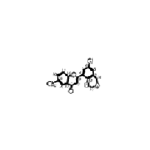 O=c1cc(-c2cc(Cl)cc3c2OCOC3)oc2ccc(Cl)cc12